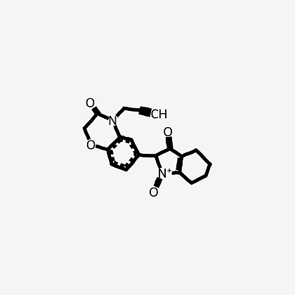 C#CCN1C(=O)COc2ccc(C3C(=O)C4=C(CCCC4)[N+]3=O)cc21